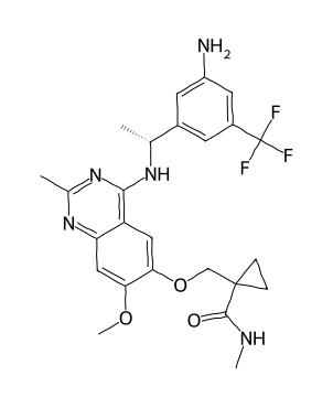 CNC(=O)C1(COc2cc3c(N[C@H](C)c4cc(N)cc(C(F)(F)F)c4)nc(C)nc3cc2OC)CC1